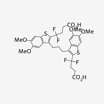 COc1cc2sc(C(F)(F)CCC(=O)O)c(CCCc3c(C(F)(F)CCC(=O)O)sc4cc(OC)c(OC)cc34)c2cc1OC